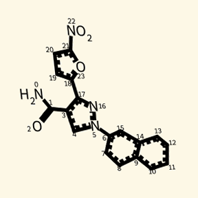 NC(=O)c1cn(-c2ccc3ccccc3c2)nc1-c1ccc([N+](=O)[O-])o1